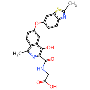 Cc1nc2ccc(Oc3ccc4c(C)nc(C(=O)NCC(=O)O)c(O)c4c3)cc2s1